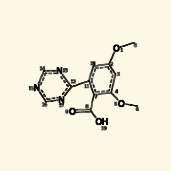 COc1cc(OC)c(C(=O)O)c(-c2ncncn2)c1